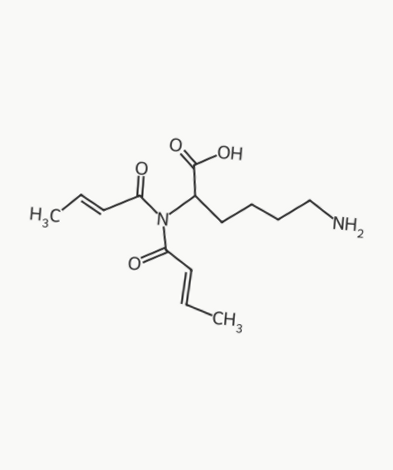 C/C=C/C(=O)N(C(=O)/C=C/C)C(CCCCN)C(=O)O